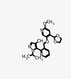 COc1cc(C2OCCO2)c(OCc2cccnc2-c2c(C)cnn2C(C)C)cn1